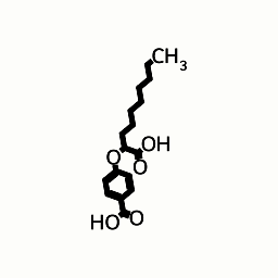 CCCCCCCCC(Oc1ccc(C(=O)O)cc1)C(=O)O